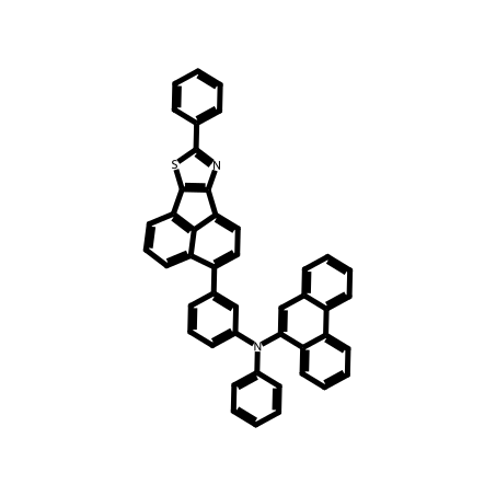 c1ccc(-c2nc3c(s2)-c2cccc4c(-c5cccc(N(c6ccccc6)c6cc7ccccc7c7ccccc67)c5)ccc-3c24)cc1